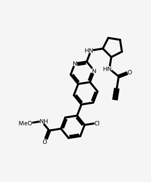 C#CC(=O)NC1CCCC1Nc1ncc2cc(-c3cc(C(=O)NOC)ccc3Cl)ccc2n1